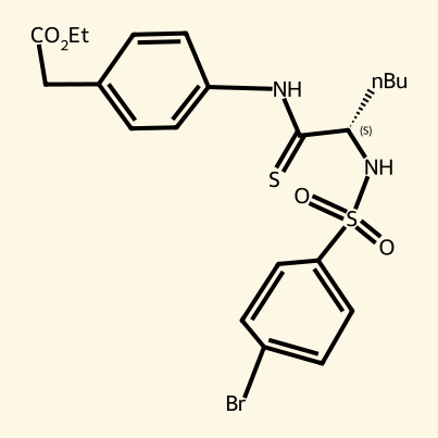 CCCC[C@H](NS(=O)(=O)c1ccc(Br)cc1)C(=S)Nc1ccc(CC(=O)OCC)cc1